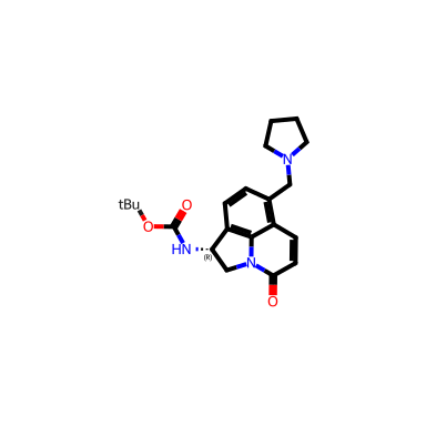 CC(C)(C)OC(=O)N[C@H]1Cn2c(=O)ccc3c(CN4CCCC4)ccc1c32